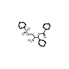 NC(COS(=O)(=O)c1ccccc1)C(OC(=O)c1ccccc1)c1ccccc1